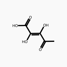 CC(=O)/C(O)=C(\O)C(=O)O